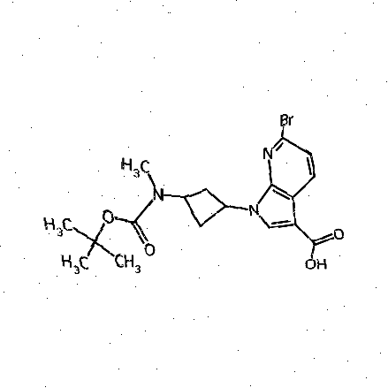 CN(C(=O)OC(C)(C)C)C1CC(n2cc(C(=O)O)c3ccc(Br)nc32)C1